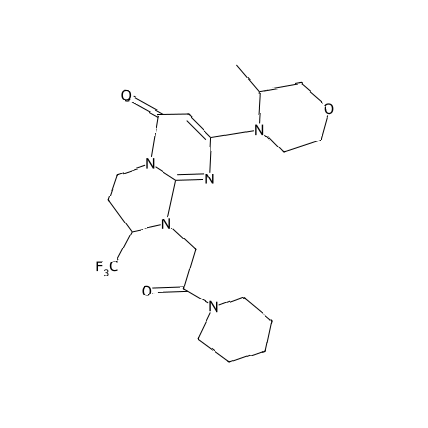 CC1COCCN1c1cc(=O)n2c(n1)N(CC(=O)N1CCCCC1)C(C(F)(F)F)CC2